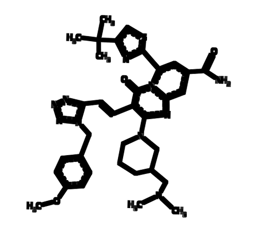 COc1ccc(Cn2nnnc2C=Cc2c(N3CCCC(CN(C)C)C3)nc3cc(C(N)=O)cc(-c4nc(C(C)(C)C)cs4)n3c2=O)cc1